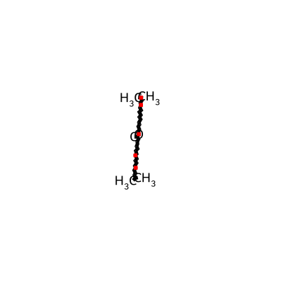 CC(C)CCCCCCCCCCCCCCCCC(=O)OCCCCCCCCCCCCCCC(C)C